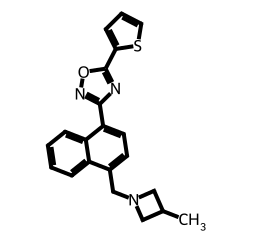 CC1CN(Cc2ccc(-c3noc(-c4cccs4)n3)c3ccccc23)C1